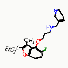 CCOC(=O)c1oc2ccc(F)c(OCCCNCc3cccnc3)c2c1C